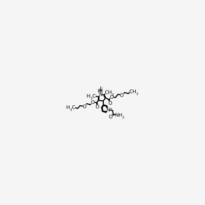 CCCOCCOC(=O)C1=C(C)NC(C)=C(C(=O)OCCOCCC)C1c1ccc[n+](CC(N)=O)c1.I.[I-]